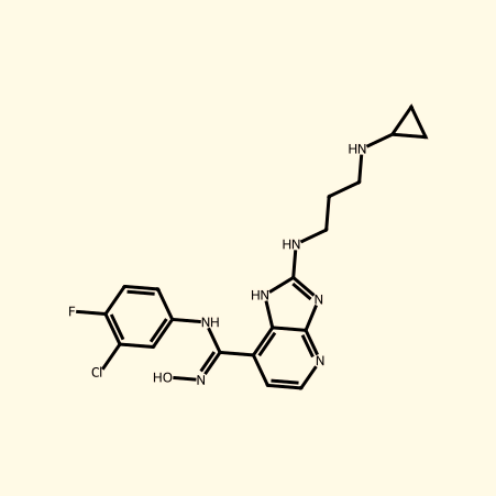 O/N=C(\Nc1ccc(F)c(Cl)c1)c1ccnc2nc(NCCCNC3CC3)[nH]c12